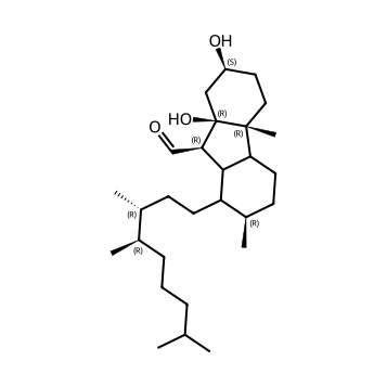 CC(C)CCC[C@@H](C)[C@H](C)CCC1C2C(CC[C@H]1C)[C@@]1(C)CC[C@H](O)C[C@@]1(O)[C@@H]2C=O